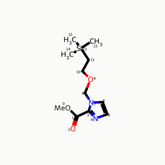 COC(=O)c1nccn1COCC[Si](C)(C)C